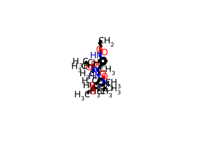 C=CCOC(=O)Nc1cccc(C(C)(C)C(C(=O)N[C@H](C(=O)N(C)[C@H](/C=C(\C)C(=O)OCC)C(C)C)C(C)(C)C)N(C)C(=O)OC(C)(C)C)c1